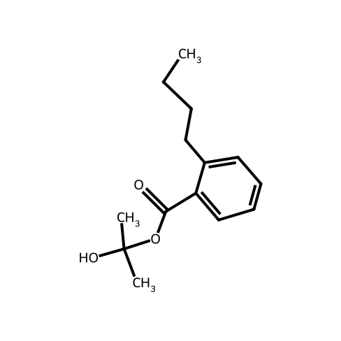 CCCCc1ccccc1C(=O)OC(C)(C)O